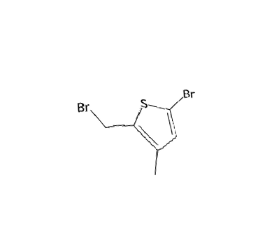 Cc1cc(Br)sc1CBr